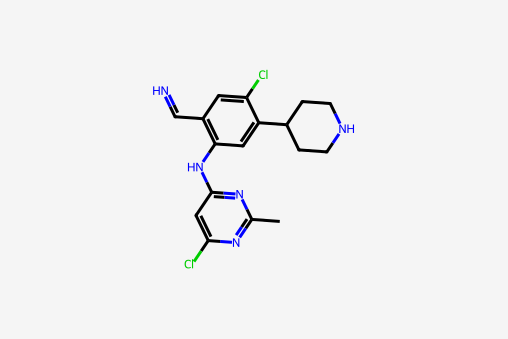 Cc1nc(Cl)cc(Nc2cc(C3CCNCC3)c(Cl)cc2C=N)n1